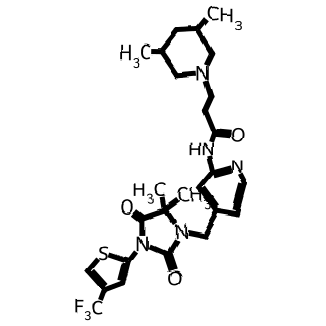 CC1CC(C)CN(CCC(=O)Nc2cc(CN3C(=O)N(c4cc(C(F)(F)F)cs4)C(=O)C3(C)C)ccn2)C1